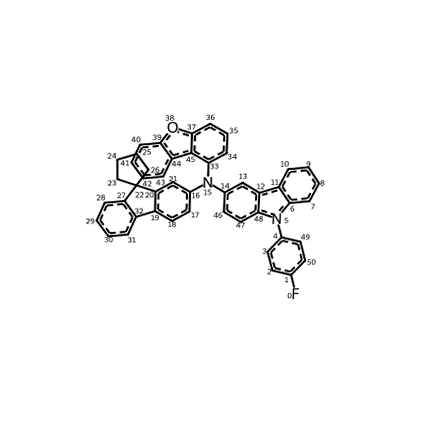 Fc1ccc(-n2c3ccccc3c3cc(N(c4ccc5c(c4)C4(CCCC4)c4ccccc4-5)c4cccc5oc6ccccc6c45)ccc32)cc1